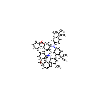 Cc1ccc(N2B3c4cc(C(C)(C)C)ccc4N(c4ccc(C(C)(C)C)cc4)c4cc5oc6ccccc6c5c(c43)-c3ccc4sc5ccccc5c4c32)cc1